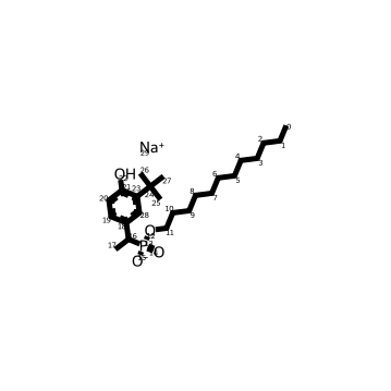 CCCCCCCCCCCCOP(=O)([O-])C(C)c1ccc(O)c(C(C)(C)C)c1.[Na+]